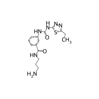 CCc1nnc(NC(=O)Nc2cccc(C(=O)NCCCN)c2)s1